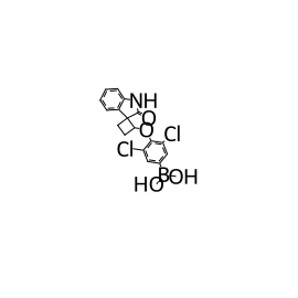 O=C1Nc2ccccc2C12CCC2Oc1c(Cl)cc(B(O)O)cc1Cl